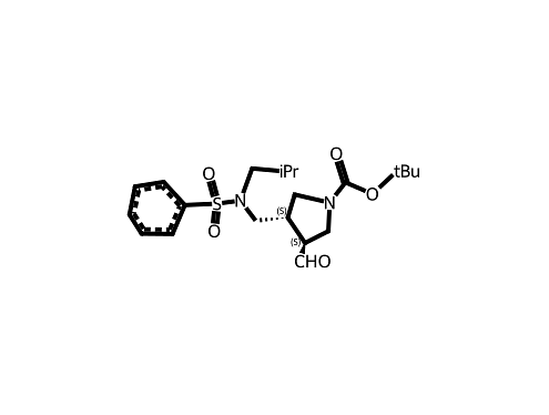 CC(C)CN(C[C@@H]1CN(C(=O)OC(C)(C)C)C[C@H]1C=O)S(=O)(=O)c1ccccc1